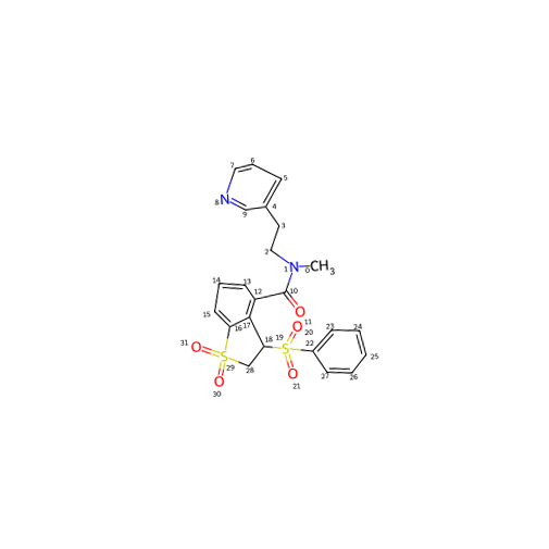 CN(CCc1cccnc1)C(=O)c1cccc2c1C(S(=O)(=O)c1ccccc1)CS2(=O)=O